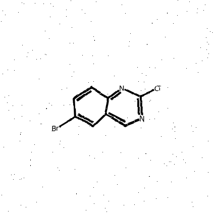 Clc1ncc2cc(Br)ccc2n1